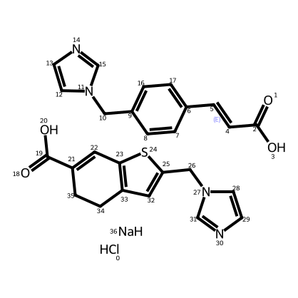 Cl.O=C(O)/C=C/c1ccc(Cn2ccnc2)cc1.O=C(O)C1=Cc2sc(Cn3ccnc3)cc2CC1.[NaH]